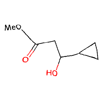 COC(=O)CC(O)C1CC1